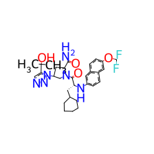 CC(C)(O)c1cnnn1C1CC(C(N)=O)N(C(=O)[C@@H](CC2CCCCC2)Nc2ccc3cc(OC(F)F)ccc3c2)C1